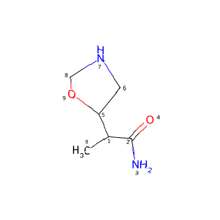 CC(C(N)=O)C1CNCO1